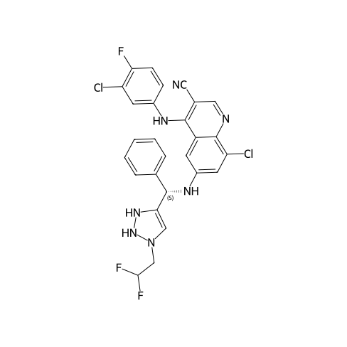 N#Cc1cnc2c(Cl)cc(N[C@H](C3=CN(CC(F)F)NN3)c3ccccc3)cc2c1Nc1ccc(F)c(Cl)c1